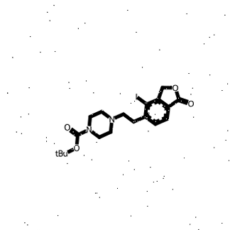 CC(C)(C)OC(=O)N1CCN(CCc2ccc3c(c2I)COC3=O)CC1